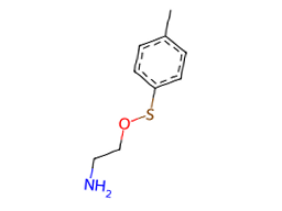 Cc1ccc(SOCCN)cc1